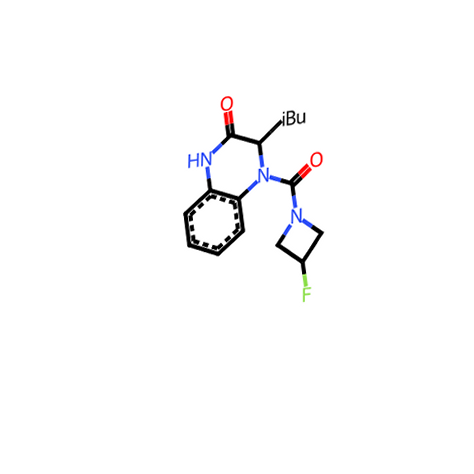 CCC(C)C1C(=O)Nc2ccccc2N1C(=O)N1CC(F)C1